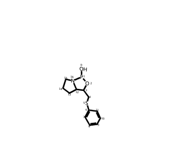 OP1OC(CSc2ccccc2)C2CCCN21